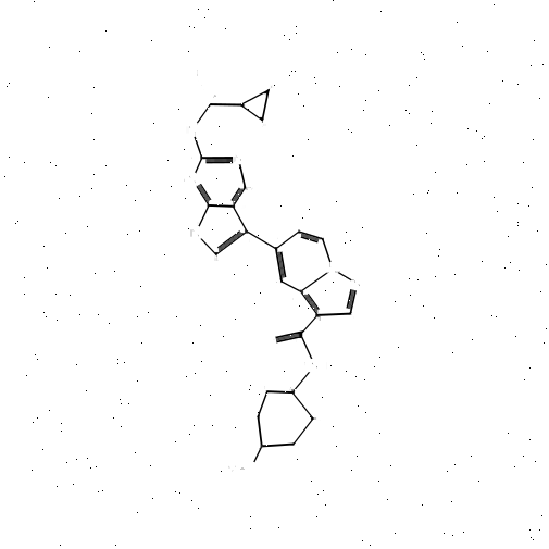 COC1CCC(NC(=O)c2cnn3ccc(-c4c[nH]c5nc(N[C@H](C)C6CC6)ncc45)cc23)CC1